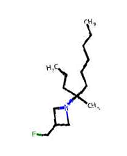 CCCCCCC(C)(CCC)N1CC(CF)C1